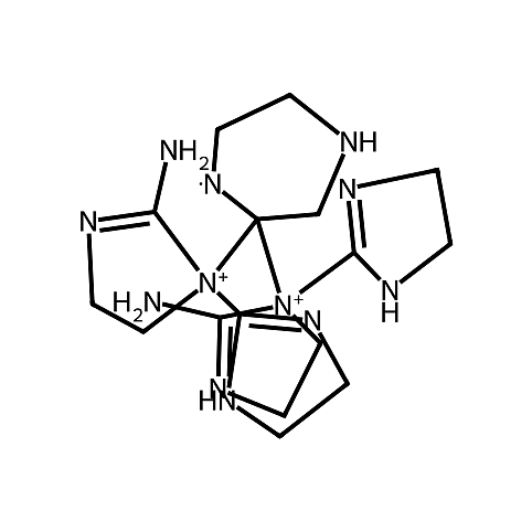 NC1=NCC[N+]1(C1=NCCN1)C1([N+]2(C3=NCCN3)CCN=C2N)CNCC[N]1